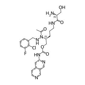 CC(=O)N(NCc1cccc(F)c1Cl)[C@@H](CCCNC(=O)[C@@H](N)CO)COC(=O)Nc1cc2ccncc2cn1